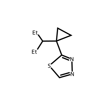 CCC(CC)C1(c2nncs2)CC1